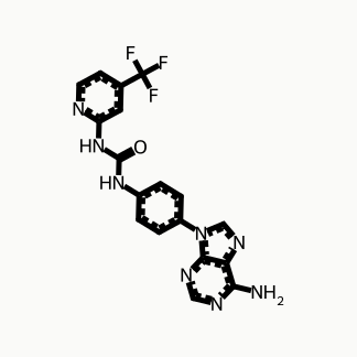 Nc1ncnc2c1ncn2-c1ccc(NC(=O)Nc2cc(C(F)(F)F)ccn2)cc1